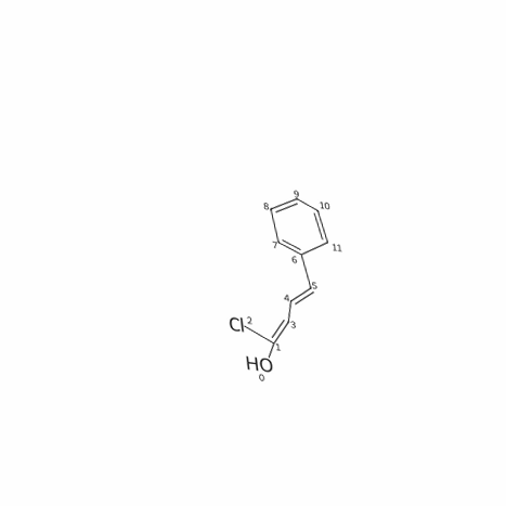 OC(Cl)=CC=Cc1ccccc1